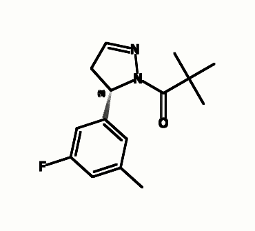 Cc1cc(F)cc([C@@H]2CC=NN2C(=O)C(C)(C)C)c1